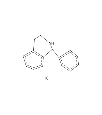 [K].c1ccc(C2NCCc3ccccc32)cc1